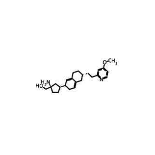 COc1ccnc(CC[C@H]2CCC3=CC([C@H]4CC[C@](N)(CO)C4)CC=C3C2)c1